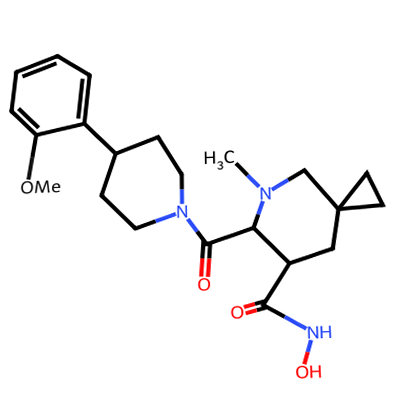 COc1ccccc1C1CCN(C(=O)C2C(C(=O)NO)CC3(CC3)CN2C)CC1